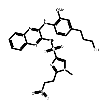 COc1cc(CCCO)ccc1Nc1nc2ccccc2nc1NS(=O)(=O)c1cn(C)c(CC[SH](=O)=O)n1